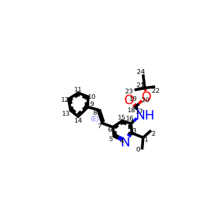 CC(C)c1ncc(/C=C/c2ccccc2)cc1NC(=O)OC(C)(C)C